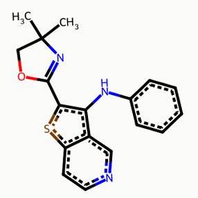 CC1(C)COC(c2sc3ccncc3c2Nc2ccccc2)=N1